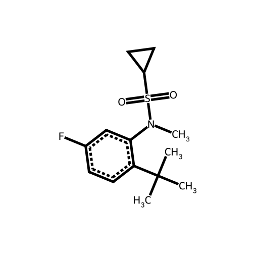 CN(c1cc(F)ccc1C(C)(C)C)S(=O)(=O)C1CC1